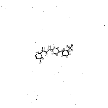 Cc1ccnc(NC(=S)NC2CCN(c3cccc(C(F)(F)F)c3)CC2)c1